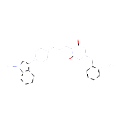 COc1ccccc1CN1CC(=O)N(CCCN2CCN(c3cn(C(C)=O)c4ccccc34)CC2)C(=O)C1